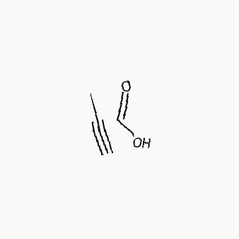 C#CC.O=CO